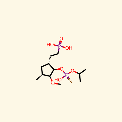 CO[C@@H]1[C@H](OP(O)(=S)OC(C)C)[C@@H](CCP(=O)(O)O)C[C@@H]1C